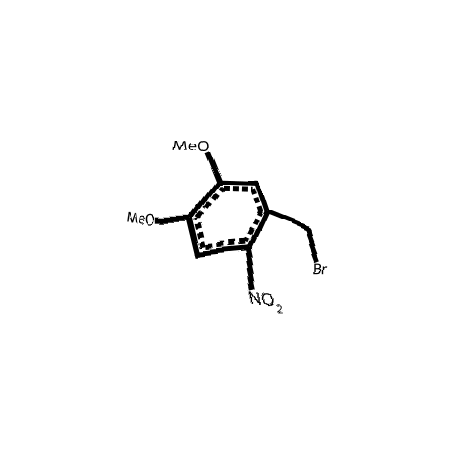 COc1cc(CBr)c([N+](=O)[O-])cc1OC